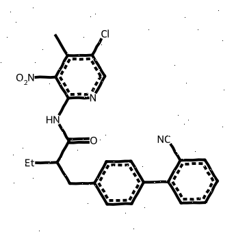 CCC(Cc1ccc(-c2ccccc2C#N)cc1)C(=O)Nc1ncc(Cl)c(C)c1[N+](=O)[O-]